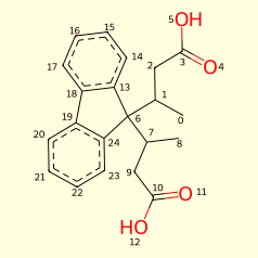 CC(CC(=O)O)C1(C(C)CC(=O)O)c2ccccc2-c2ccccc21